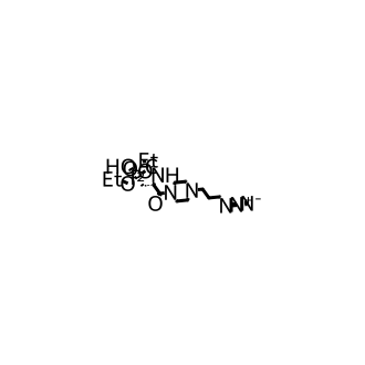 CCOP(=O)(C[C@H](NC(=O)O)C(=O)N1CCN(CCCN=[N+]=[N-])CC1)OCC